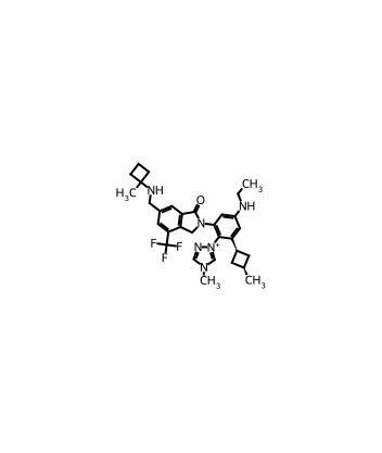 CCNc1cc(N2Cc3c(cc(CNC4(C)CCC4)cc3C(F)(F)F)C2=O)c(-[n+]2cn(C)cn2)c([C@H]2C[C@@H](C)C2)c1